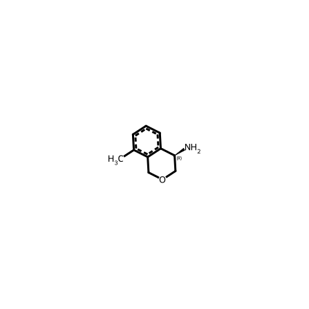 Cc1cccc2c1COC[C@@H]2N